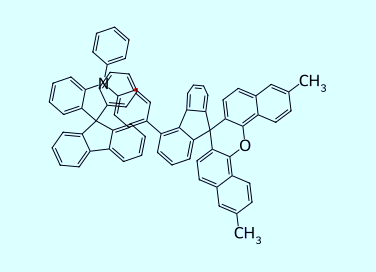 Cc1ccc2c3c(ccc2c1)C1(c2ccccc2-c2c(-c4ccc(N(c5ccccc5)c5ccccc5C5(c6ccccc6)c6ccccc6-c6ccccc65)cc4)cccc21)c1ccc2cc(C)ccc2c1O3